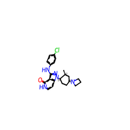 C[C@H]1C[C@H](N2CCC2)CC[C@@H]1n1nc(Nc2ccc(Cl)cc2)c2c(=O)[nH]ccc21